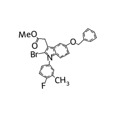 COC(=O)Cc1c(Br)n(-c2ccc(F)c(C)c2)c2ccc(OCc3ccccc3)cc12